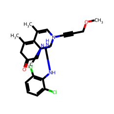 COCC#CN1C=C(C)C2=C(C)CC(=O)CC23C1NC(Nc1c(Cl)cccc1Cl)N3C